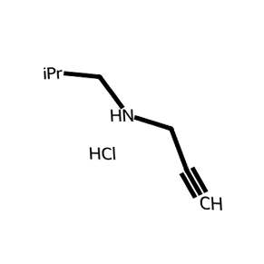 C#CCNCC(C)C.Cl